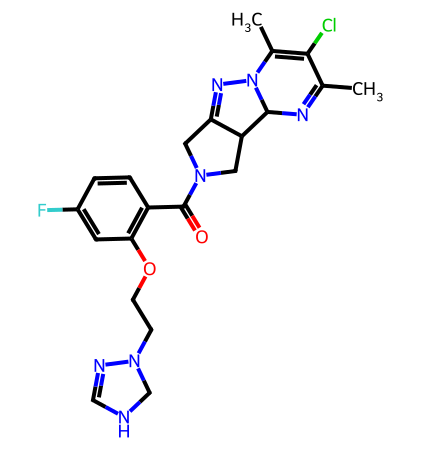 CC1=NC2C3CN(C(=O)c4ccc(F)cc4OCCN4CNC=N4)CC3=NN2C(C)=C1Cl